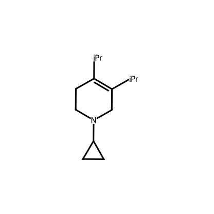 CC(C)C1=C(C(C)C)CN(C2CC2)CC1